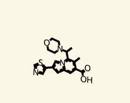 Cc1c(C(=O)O)cc2cc(-c3cncs3)cn2c1C(C)N1CCOCC1